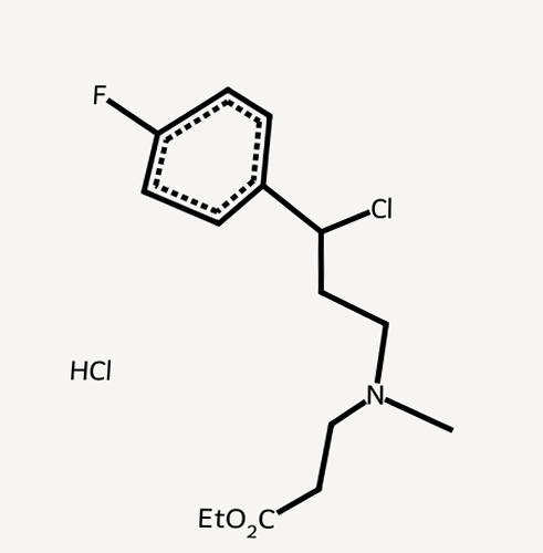 CCOC(=O)CCN(C)CCC(Cl)c1ccc(F)cc1.Cl